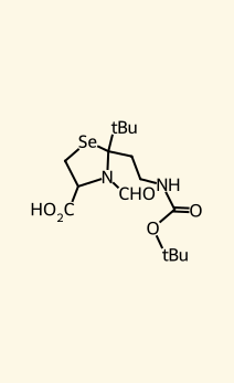 CC(C)(C)OC(=O)NCCC1(C(C)(C)C)[Se]CC(C(=O)O)N1C=O